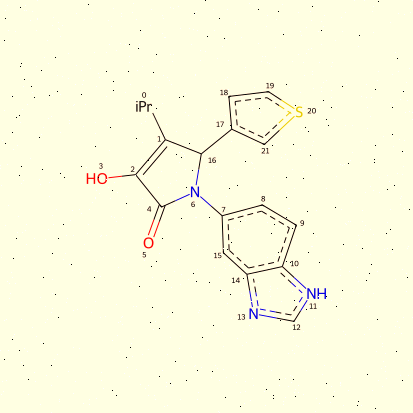 CC(C)C1=C(O)C(=O)N(c2ccc3[nH]cnc3c2)C1c1ccsc1